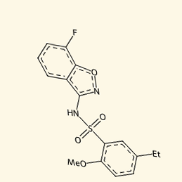 CCc1ccc(OC)c(S(=O)(=O)Nc2noc3c(F)cccc23)c1